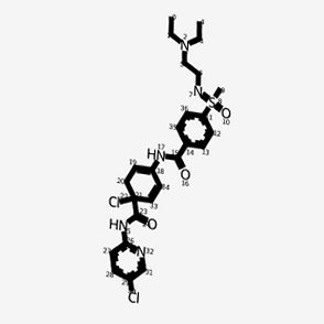 CCN(CC)CCN=S(C)(=O)c1ccc(C(=O)NC2=CCC(Cl)(C(=O)Nc3ccc(Cl)cn3)C=C2)cc1